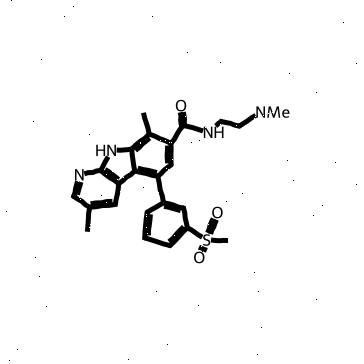 CNCCNC(=O)c1cc(-c2cccc(S(C)(=O)=O)c2)c2c([nH]c3ncc(C)cc32)c1C